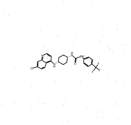 O=C(Nc1ccc(C(F)(F)F)cc1)N[C@H]1CC[C@@H](Nc2ccnc3cc(Cl)ccc23)CC1